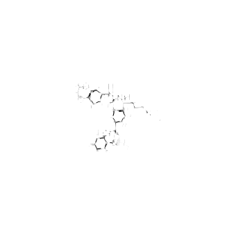 NCCCC(NC(=O)Nc1ccc2c(c1)OCCO2)c1ccc(C(=O)Nc2ccccc2N)cc1